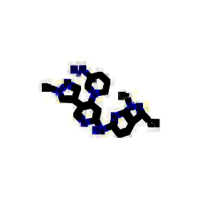 CCn1cc(-c2cnc(Nc3ccc4c(C#N)nn(C(C)C)c4n3)cc2N2CCC[C@H](N)C2)cn1